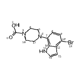 O=C(O)N1CCN(c2ccc(Br)c3cc[nH]c23)CC1